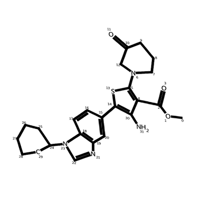 COC(=O)c1c(N2CCCC(=O)C2)sc(-c2ccc3c(c2)ncn3C2CCCCC2)c1N